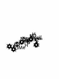 COc1cccc(-c2ccccc2)c1CN1CCN(c2ccc3c(NS(=O)(=O)c4ccc(N[C@H](CCN(C)C)CSc5ccccc5)c([N+](=O)[O-])c4)ncnc3c2)CC1